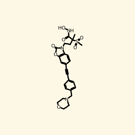 CC(CCn1c(=O)oc2cc(C#Cc3ccc(CN4CCOCC4)cc3)ccc21)(C(=O)NO)S(C)(=O)=O